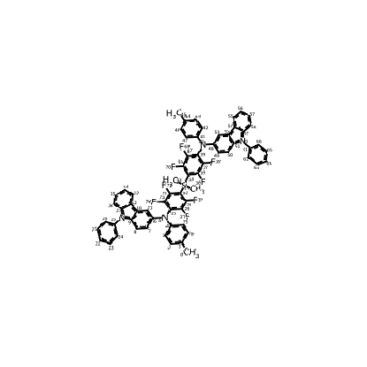 Cc1ccc(N(c2ccc3c(c2)c2ccccc2n3-c2ccccc2)c2c(F)c(F)c([Si](C)(C)c3c(F)c(F)c(N(c4ccc(C)cc4)c4ccc5c(c4)c4ccccc4n5-c4ccccc4)c(F)c3F)c(F)c2F)cc1